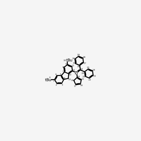 CC(C)(C)c1ccc2c(c1)-c1cc(C(C)(C)C)c[c]([Zr]([C]3=CC=CC3)=[C](c3ccccc3)c3ccccc3)c1C2